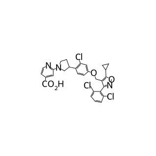 O=C(O)c1ccnc(N2CCC(c3ccc(OCc4c(-c5c(Cl)cccc5Cl)noc4C4CC4)cc3Cl)C2)c1